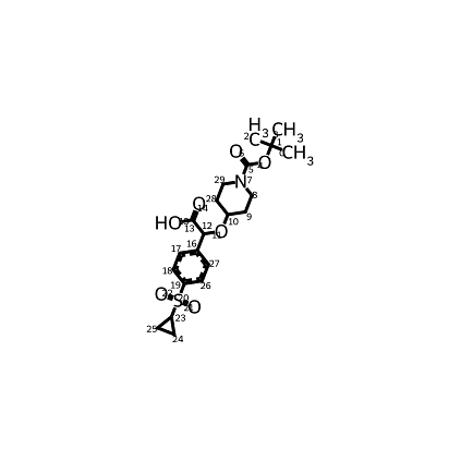 CC(C)(C)OC(=O)N1CCC(OC(C(=O)O)c2ccc(S(=O)(=O)C3CC3)cc2)CC1